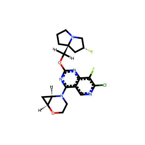 [2H]C([2H])(Oc1nc(N2CCO[C@H]3C[C@H]32)c2cnc(Cl)c(F)c2n1)[C@@]12CCCN1C[C@H](F)C2